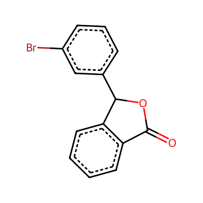 O=C1OC(c2cccc(Br)c2)c2ccccc21